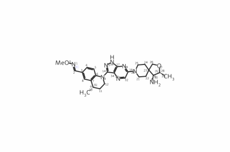 CO/N=C/c1ccc2c(c1)[C@@H](C)CCN2c1n[nH]c2nc(N3CCC4(CC3)CO[C@@H](C)[C@H]4N)cnc12